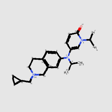 [2H]C([2H])n1cc(N(c2ccc3c(c2)CN(CC2CC2)CC3)C(C)C)ccc1=O